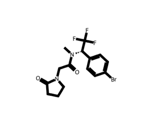 CN(C(=O)CN1CCCC1=O)[C@@H](c1ccc(Br)cc1)C(F)(F)F